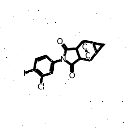 O=C1C2C3CCC(C4CC43)C2C(=O)N1c1ccc(I)c(Cl)c1